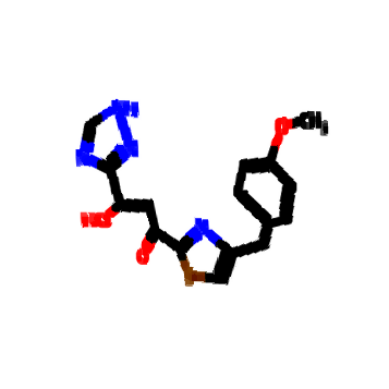 COc1ccc(Cc2csc(C(=O)C=C(O)c3nc[nH]n3)n2)cc1